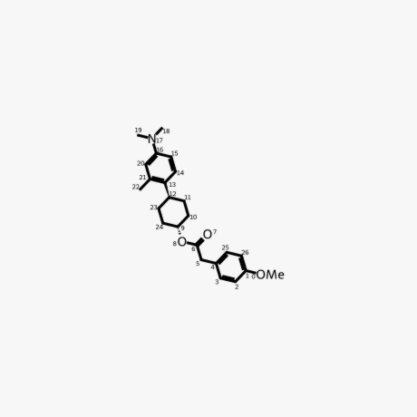 COc1ccc(CC(=O)O[C@H]2CC[C@H](c3ccc(N(C)C)cc3C)CC2)cc1